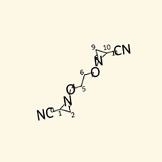 N#CC1CN1OCCON1CC1C#N